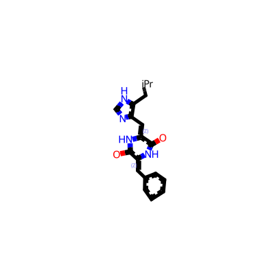 CC(C)Cc1[nH]cnc1/C=c1\[nH]c(=O)/c(=C/c2ccccc2)[nH]c1=O